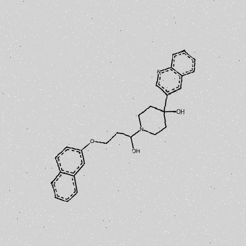 OC(CCOc1ccc2ccccc2c1)N1CCC(O)(c2cnc3ccccc3c2)CC1